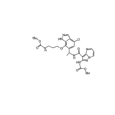 CC(NC(=O)c1c(NC(=O)OC(C)(C)C)nn2cccnc12)c1cc(Cl)c2cn[nH]c2c1OCCCNC(=O)OC(C)(C)C